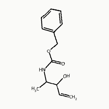 C=CC(O)C(C)NC(=O)OCc1ccccc1